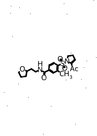 CC(=O)C1=CCCN1S(=O)(=O)c1ccc(C(=O)NCCC2CCCO2)cc1C